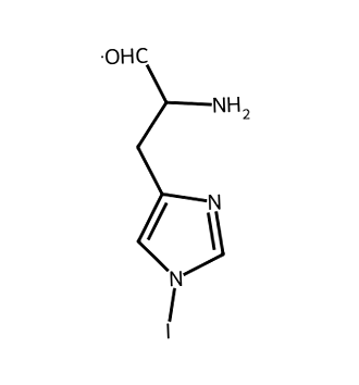 NC([C]=O)Cc1cn(I)cn1